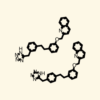 c1cc(CCc2ccc(Cc3nnn[nH]3)cc2)cc(OCc2ccc3ccccc3n2)c1.c1cc(CCc2cccc(OCc3ccc4ccccc4n3)c2)cc(Cc2nnn[nH]2)c1